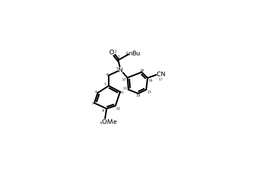 CCCCC(=O)N(Cc1ccc(OC)cc1)c1cccc(C#N)c1